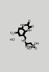 CCCCCC(CP(=O)(O)O)NCc1cc([N+](=O)[O-])cc2[nH]c(=O)c(=O)[nH]c12.Cl